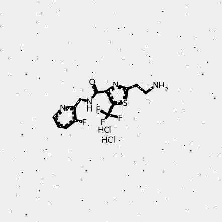 Cl.Cl.NCCc1nc(C(=O)NCc2ncccc2F)c(C(F)(F)F)s1